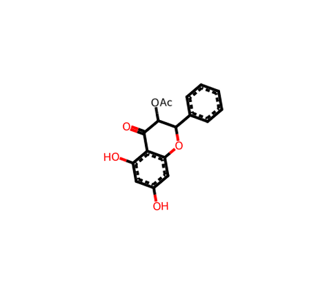 CC(=O)OC1C(=O)c2c(O)cc(O)cc2OC1c1ccccc1